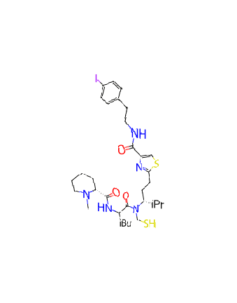 CCC(C)C(NC(=O)[C@H]1CCCCN1C)C(=O)N(CS)[C@H](CCc1nc(C(=O)NCCc2ccc(I)cc2)cs1)C(C)C